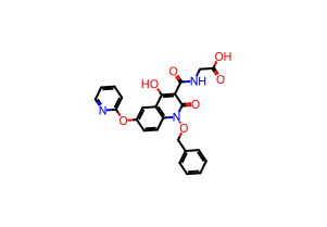 O=C(O)CNC(=O)c1c(O)c2cc(Oc3ccccn3)ccc2n(OCc2ccccc2)c1=O